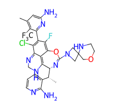 Cc1cc(N)nc(-c2c(F)c3c4c(c2Cl)=NCNC=4[C@@H]([C@H](C)c2cccnc2N)N=C(N2CC4(COCCN4)C2)O3)c1C(F)(F)F